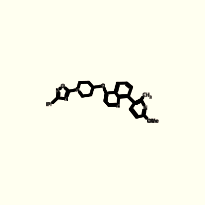 COc1ccc(-c2cccc3c(OC4CCN(c5nc(C(C)C)no5)CC4)ccnc23)c(C)n1